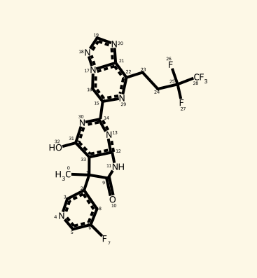 CC1(c2cncc(F)c2)C(=O)Nc2nc(-c3cn4ncnc4c(CCC(F)(F)C(F)(F)F)n3)nc(O)c21